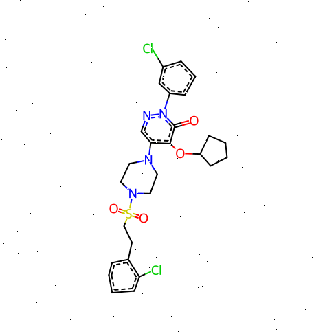 O=c1c(OC2CCCC2)c(N2CCN(S(=O)(=O)CCc3ccccc3Cl)CC2)cnn1-c1cccc(Cl)c1